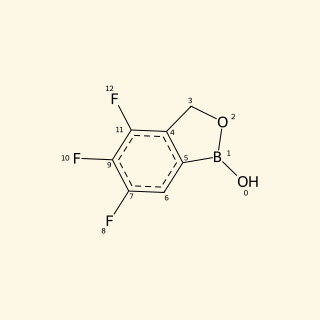 OB1OCc2c1cc(F)c(F)c2F